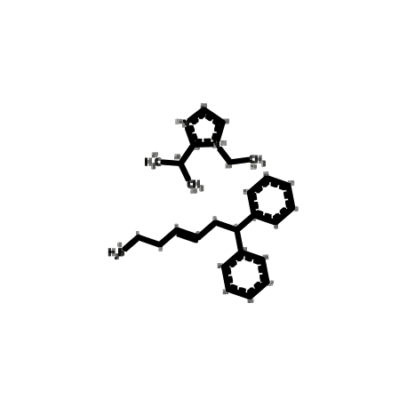 BCCC=CCC(c1ccccc1)c1ccccc1.CCn1ccnc1C(C)C